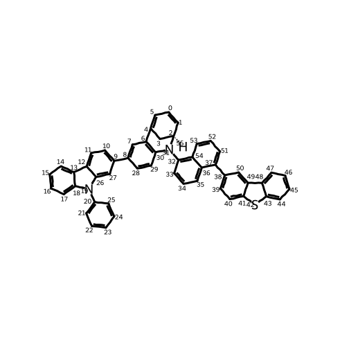 C1=C[C@@H]2CC(=C1)c1cc(-c3ccc4c5ccccc5n(-c5ccccc5)c4c3)ccc1N2c1cccc2c(-c3ccc4sc5ccccc5c4c3)cccc12